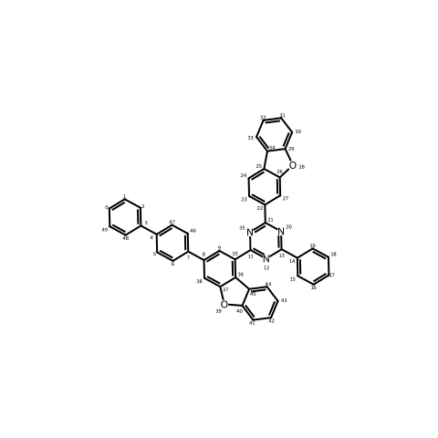 c1ccc(-c2ccc(-c3cc(-c4nc(-c5ccccc5)nc(-c5ccc6c(c5)oc5ccccc56)n4)c4c(c3)oc3ccccc34)cc2)cc1